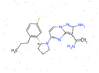 C=C(N)c1c(N)nn2ccc(N3CCC[C@@H]3c3cc(F)ccc3CCC)nc12